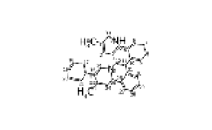 CC1=CC=C(c2ccccc2C2=CN3C=C(c4ccccc4)C(C)=CC3c3ccccc32)NC1